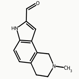 CN1CCc2ccc3[nH]c(C=O)cc3c2C1